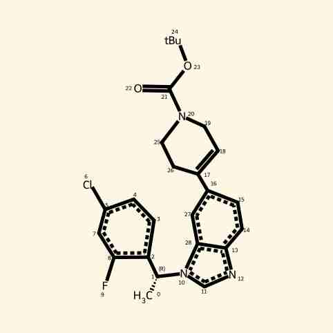 C[C@H](c1ccc(Cl)cc1F)n1cnc2ccc(C3=CCN(C(=O)OC(C)(C)C)CC3)cc21